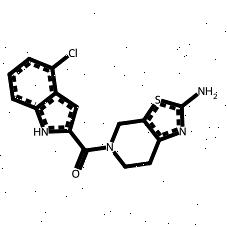 Nc1nc2c(s1)CN(C(=O)c1cc3c(Cl)cccc3[nH]1)CC2